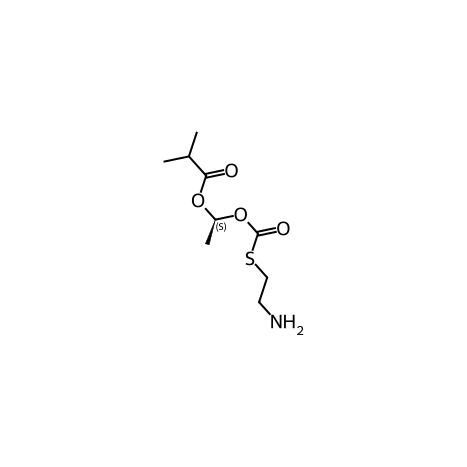 CC(C)C(=O)O[C@H](C)OC(=O)SCCN